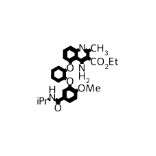 CCOC(=O)c1c(C)nc2cccc(OC3CCCCC3Oc3cc(C(=O)NC(C)C)ccc3OC)c2c1N